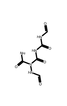 [NH]C(=O)N(NC=O)C(=O)NC(=O)NC=O